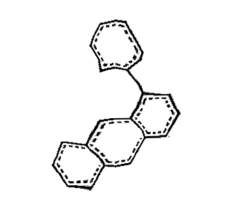 [c]1ccc(-c2ccccc2)c2cc3ccccc3cc12